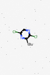 CC(C)(C)c1nc(Cl)cnc1Cl